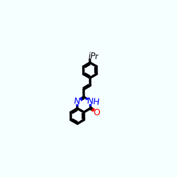 CC(C)c1ccc(C=Cc2nc3ccccc3c(=O)[nH]2)cc1